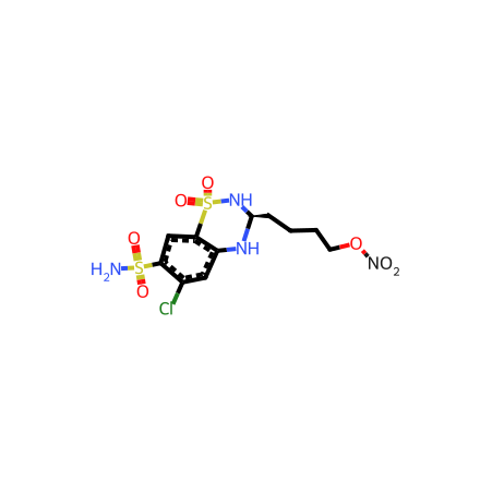 NS(=O)(=O)c1cc2c(cc1Cl)N[C@H](CCCCO[N+](=O)[O-])NS2(=O)=O